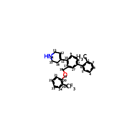 Cc1ccccc1-c1ccc(C2=CCNCC2)c(COc2ccccc2C(F)(F)F)c1